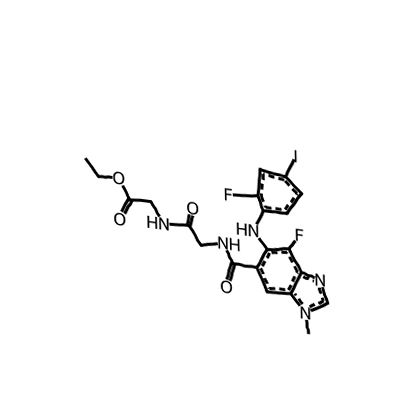 CCOC(=O)CNC(=O)CNC(=O)c1cc2c(ncn2C)c(F)c1Nc1ccc(I)cc1F